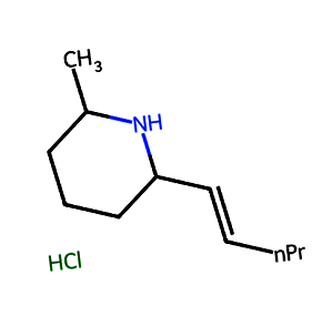 CCC/C=C/C1CCCC(C)N1.Cl